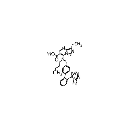 CCCCN(Cc1ccc(-c2ccccc2-c2nnn[nH]2)cc1)c1c(C(=O)O)cnc2c(CC)nnn12